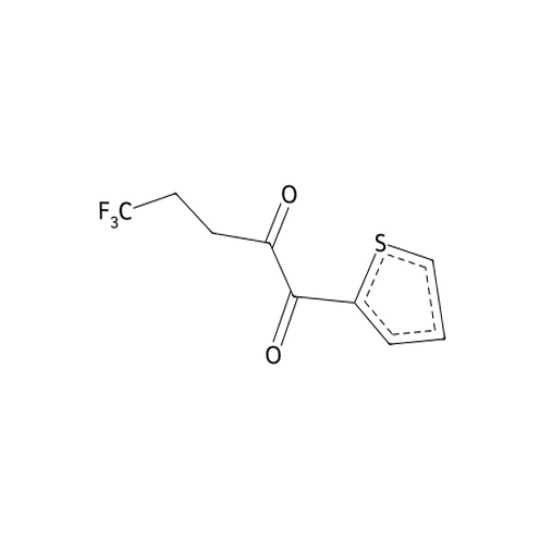 O=C(CCC(F)(F)F)C(=O)c1cccs1